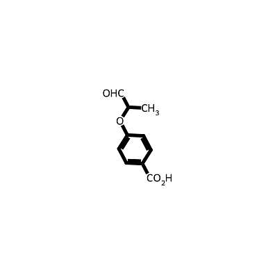 CC(C=O)Oc1ccc(C(=O)O)cc1